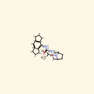 CC(C)N1CC2CCC(C1)N2SNC(=O)Nc1c2c(cc3c1CCC3)CCC2